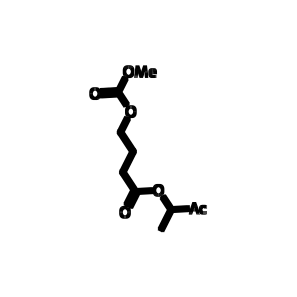 COC(=O)OCCCC(=O)OC(C)C(C)=O